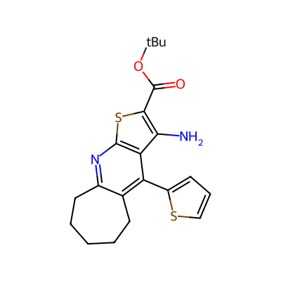 CC(C)(C)OC(=O)c1sc2nc3c(c(-c4cccs4)c2c1N)CCCCC3